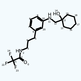 O=C(NCCCc1cccc(NCC2(O)CCCCC2)c1)C(F)(F)F